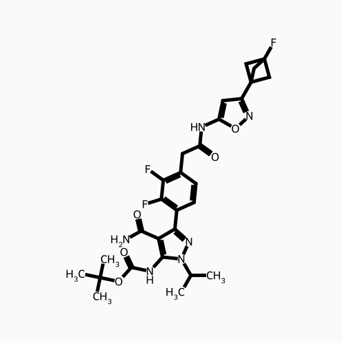 CC(C)n1nc(-c2ccc(CC(=O)Nc3cc(C45CC(F)(C4)C5)no3)c(F)c2F)c(C(N)=O)c1NC(=O)OC(C)(C)C